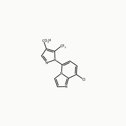 O=C(O)c1cnn(-c2ccc(Cl)c3nccn23)c1C(F)(F)F